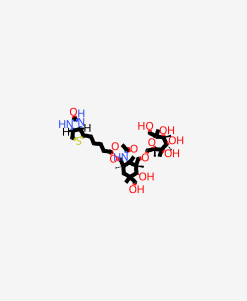 CC(=O)NC1(C)[C@](C)(COC(=O)CCCCC2SC[C@@H]3NC(=O)N[C@H]23)CC(C)(CO)[C@@H](O)[C@@]1(C)COC[C@]1(C)OC(C)(CO)[C@](C)(O)[C@@](C)(O)C1(C)O